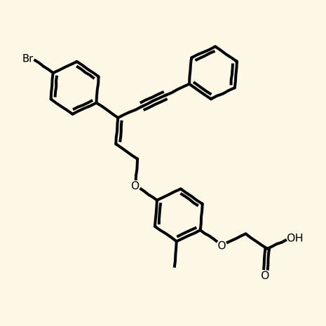 Cc1cc(OCC=C(C#Cc2ccccc2)c2ccc(Br)cc2)ccc1OCC(=O)O